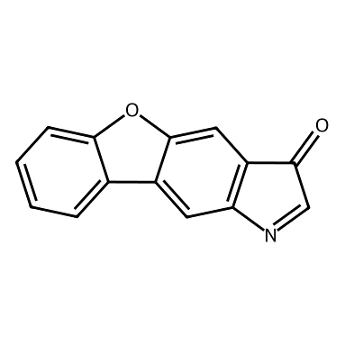 O=C1C=Nc2cc3c(cc21)oc1ccccc13